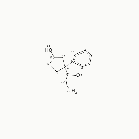 COC(=O)C1(c2ccccc2)CCC(O)C1